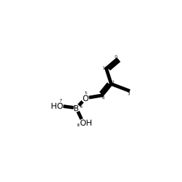 C=CC(C)=COB(O)O